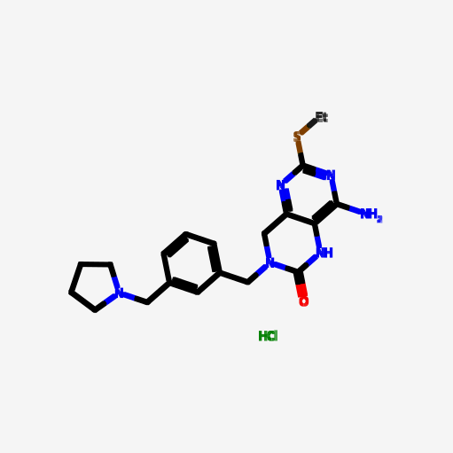 CCSc1nc(N)c2c(n1)CN(Cc1cccc(CN3CCCC3)c1)C(=O)N2.Cl